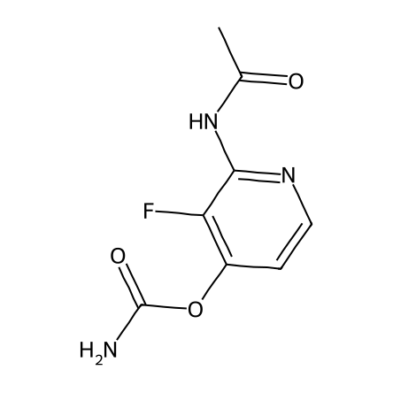 CC(=O)Nc1nccc(OC(N)=O)c1F